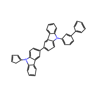 C1=CCC(n2c3ccccc3c3cc(-c4ccc5c(c4)c4ccccc4n5-c4cccc(-c5ccccc5)c4)ccc32)=C1